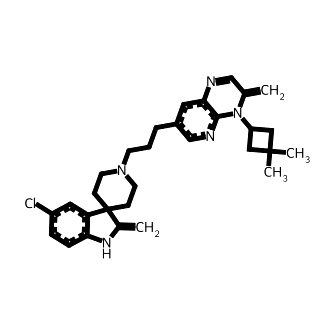 C=C1C=Nc2cc(CCCN3CCC4(CC3)C(=C)Nc3ccc(Cl)cc34)cnc2N1C1CC(C)(C)C1